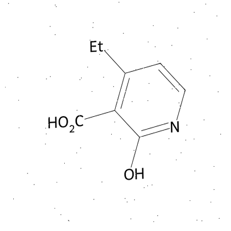 CCc1ccnc(O)c1C(=O)O